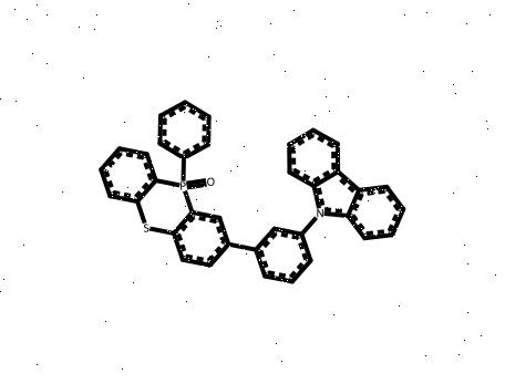 O=P1(c2ccccc2)c2ccccc2Sc2ccc(-c3cccc(-n4c5ccccc5c5ccccc54)c3)cc21